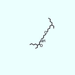 CCCCC(CC)CCCCOCCCCNCC(=O)C(CC)CCCC